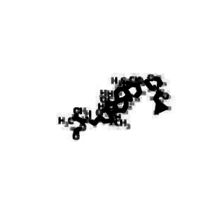 CC(O)C(NCC1C[C@@H](C)[C@H]2C(O1)[C@H](O)[C@@]1(C)C3CC[C@H]4C(C)(C)C(O[C@H]5CN(C(=O)CC6CC6)CCO5)CC[C@@]45C[C@@]35CC[C@]21C)OC=O